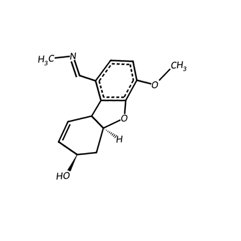 C/N=C/c1ccc(OC)c2c1C1C=C[C@H](O)C[C@@H]1O2